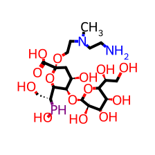 CN(CCN)CCO[C@]1(C(=O)O)C[C@@H](O)[C@@H](O[C@H]2OC([C@@H](O)CO)[C@@H](O)C(O)[C@H]2O)C([C@@H](CO)PO)O1